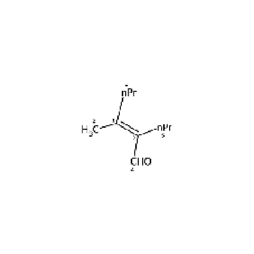 CCCC(C)=C(C=O)CCC